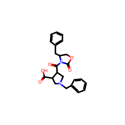 O=C(O)C1CN(Cc2ccccc2)CC1C(=O)N1C(=O)OCC1Cc1ccccc1